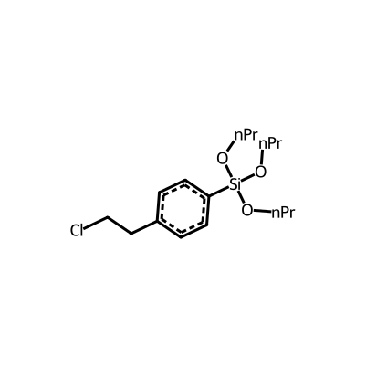 CCCO[Si](OCCC)(OCCC)c1ccc(CCCl)cc1